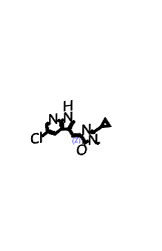 CN1C(=O)/C(=C/c2c[nH]c3ncc(Cl)cc23)N=C1C1CC1